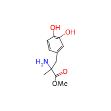 COC(=O)C(C)(N)Cc1ccc(O)c(O)c1